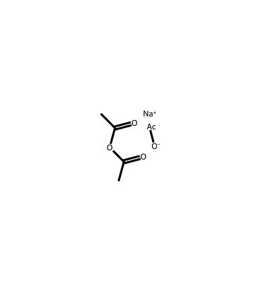 CC(=O)OC(C)=O.CC(=O)[O-].[Na+]